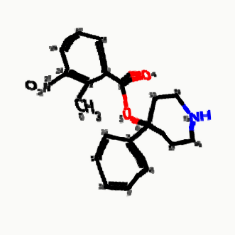 Cc1c(C(=O)OC2(c3ccccc3)CCNCC2)cccc1[N+](=O)[O-]